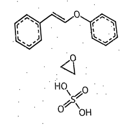 C(=Cc1ccccc1)Oc1ccccc1.C1CO1.O=S(=O)(O)O